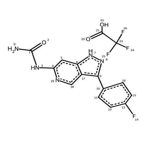 NC(=O)Nc1cc2[nH]nc(-c3ccc(F)cc3)c2cn1.O=C(O)C(F)(F)F